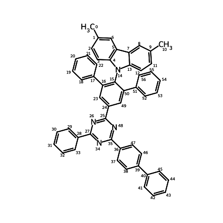 Cc1ccc2c(c1)c1cc(C)ccc1n2-c1c(-c2ccccc2)cc(-c2nc(-c3ccccc3)nc(-c3ccc(-c4ccccc4)cc3)n2)cc1-c1ccccc1